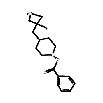 O=C(ON1CCC(CC2(F)CNC2)CC1)c1ccccc1